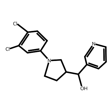 OC(c1cccnc1)C1CCN(c2ccc(Cl)c(Cl)c2)C1